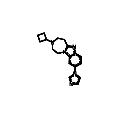 c1cn(-c2ccc3nc4n(c3c2)CCN(C2CCC2)CC4)cn1